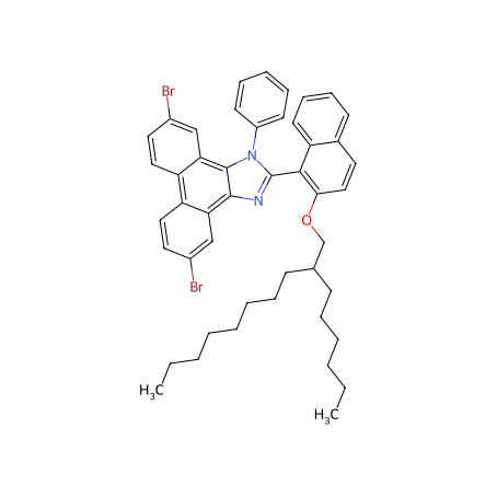 CCCCCCCCC(CCCCCC)COc1ccc2ccccc2c1-c1nc2c3cc(Br)ccc3c3ccc(Br)cc3c2n1-c1ccccc1